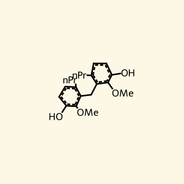 CCCc1ccc(O)c(OC)c1Cc1c(CCC)ccc(O)c1OC